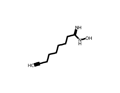 C#CCCCCCCC(=N)NO